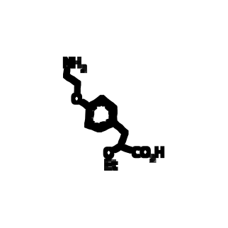 CCOC(Cc1ccc(OCCN)cc1)C(=O)O